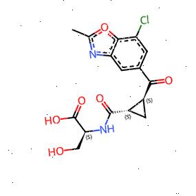 Cc1nc2cc(C(=O)[C@H]3C[C@@H]3C(=O)N[C@@H](CO)C(=O)O)cc(Cl)c2o1